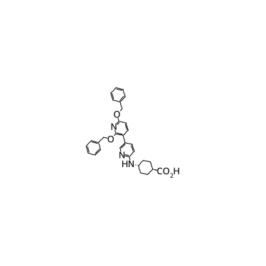 O=C(O)[C@H]1CC[C@H](Nc2ccc(-c3ccc(OCc4ccccc4)nc3OCc3ccccc3)cn2)CC1